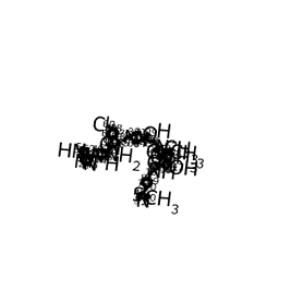 Cc1ncsc1-c1ccc(CNC(=O)[C@@H]2C[C@@H](O)CN2C(=O)[C@@H](NC(=O)CCC(=O)N2CCN(CC[C@H](NC(=O)C3(N)CCN(c4ncnc5[nH]ccc45)CC3)c3ccc(Cl)cc3)CC2)C(C)(C)C)cc1